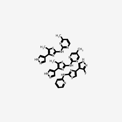 Cc1ccnc(Nc2nc(-c3cn[nH]c3)c(C)s2)n1.Cc1cnc(Nc2nc(-c3cn[nH]c3)c(C)s2)nc1.Fc1n[nH]cc1-c1csc(Nc2ccccn2)n1